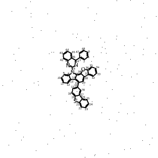 c1ccc(-c2nc(-n3c4ccccc4c4c(-c5ccc6sc7ccccc7c6c5)cc5c6ccccc6oc5c43)nc3ccccc23)cc1